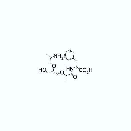 C[C@H](N)COC(CO)CO[C@@H](C)C(=O)NC(Cc1ccccc1)C(=O)O